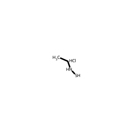 CCNS.Cl